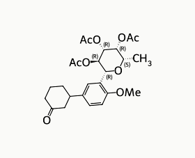 COc1ccc(C2CCCC(=O)C2)cc1[C@H]1O[C@@H](C)[C@@H](OC(C)=O)[C@@H](OC(C)=O)[C@@H]1OC(C)=O